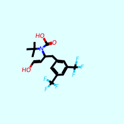 CC(C)(C)N(C(=O)O)C(C=CO)Cc1cc(C(F)(F)F)cc(C(F)(F)F)c1